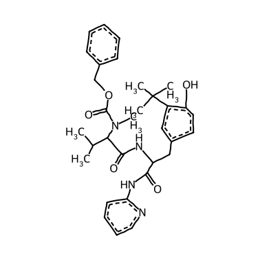 CC(C)C(C(=O)NC(Cc1ccc(O)c(C(C)(C)C)c1)C(=O)Nc1ccccn1)N(C)C(=O)OCc1ccccc1